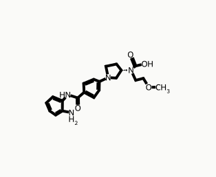 COCCN(C(=O)O)[C@H]1CCN(c2ccc(C(=O)Nc3ccccc3N)cc2)C1